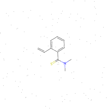 C=Cc1ccccc1C(=S)N(C)C